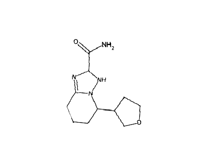 NC(=O)C1N=C2CCCC(C3CCOC3)N2N1